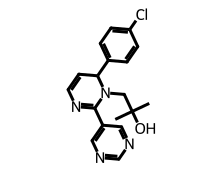 CC(C)(O)CN1C(c2cncnc2)=NC=CC1c1ccc(Cl)cc1